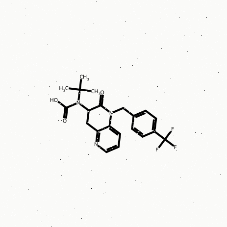 CC(C)(C)N(C(=O)O)C1Cc2ncccc2N(Cc2ccc(C(F)(F)F)cc2)C1=O